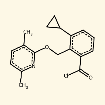 Cc1ccc(C)c(OCc2c(C(=O)Cl)cccc2C2CC2)n1